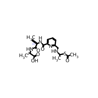 C/C=C(\NC(=O)c1cccc(CNC(C)SC(C)=O)n1)C(=O)N[C@@H](C)C(=O)O